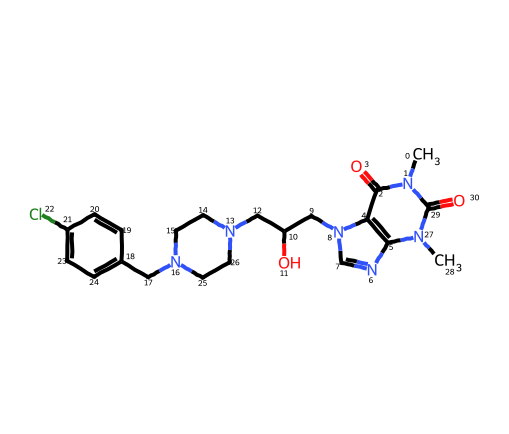 Cn1c(=O)c2c(ncn2CC(O)CN2CCN(Cc3ccc(Cl)cc3)CC2)n(C)c1=O